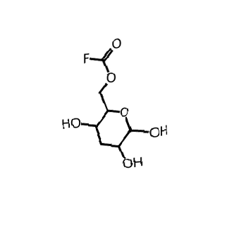 O=C(F)OCC1OC(O)C(O)CC1O